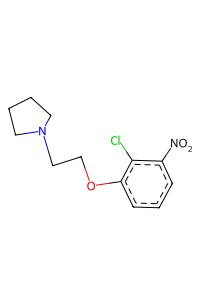 O=[N+]([O-])c1cccc(OCCN2CCCC2)c1Cl